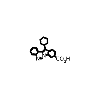 O=C(O)c1ccc2c(C3CCCCC3)c3c4ccccc4ncn3c2c1